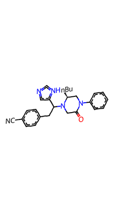 CCCC[C@H]1CN(c2ccccc2)C(=O)CN1C(Cc1ccc(C#N)cc1)c1cnc[nH]1